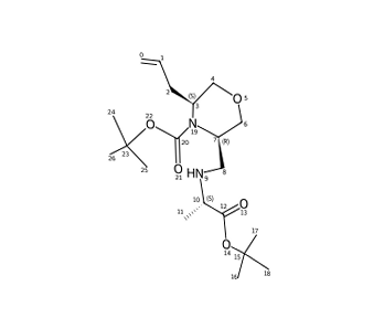 C=CC[C@H]1COC[C@@H](CN[C@@H](C)C(=O)OC(C)(C)C)N1C(=O)OC(C)(C)C